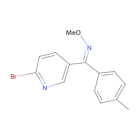 CO/N=C(/c1ccc(C)cc1)c1ccc(Br)nc1